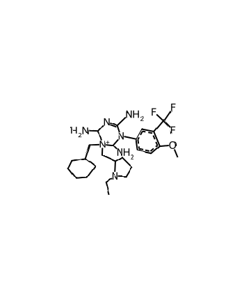 CCN1CCCC1C[N+]1(CC2CCCCC2)C(N)N=C(N)N(c2ccc(OC)c(C(F)(F)F)c2)C1N